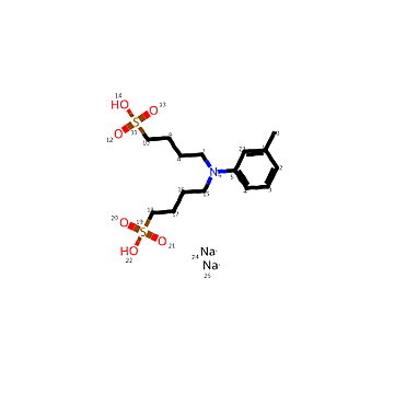 Cc1cccc(N(CCCCS(=O)(=O)O)CCCCS(=O)(=O)O)c1.[Na].[Na]